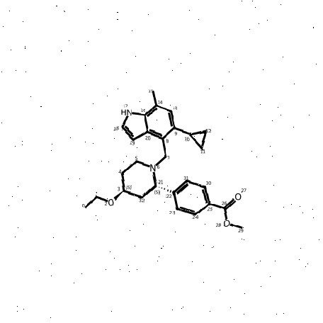 CCO[C@H]1CCN(Cc2c(C3CC3)cc(C)c3[nH]ccc23)[C@H](c2ccc(C(=O)OC)cc2)C1